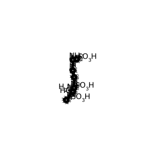 Nc1ccc(/N=N/c2ccc(-c3ccc(/N=N/c4c(S(=O)(=O)O)cc5cc(S(=O)(=O)O)c(/N=N/c6ccccc6)c(O)c5c4N)cc3)cc2)c2ccc(S(=O)(=O)O)cc12